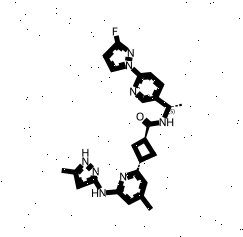 Cc1cc(Nc2cc(C)[nH]n2)nc([C@H]2C[C@H](C(=O)N[C@@H](C)c3ccc(-n4ccc(F)n4)nc3)C2)c1